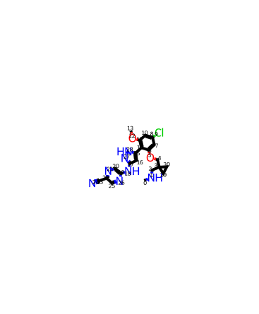 CNCC1(COc2cc(Cl)cc(OC)c2-c2cc(Nc3cnc(C#N)cn3)n[nH]2)CC1